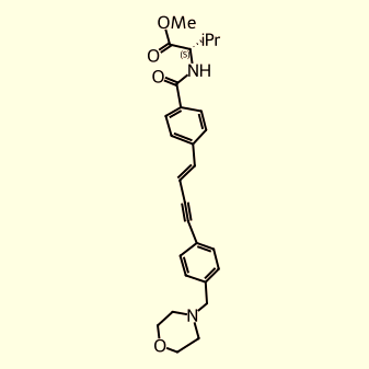 COC(=O)[C@@H](NC(=O)c1ccc(C=CC#Cc2ccc(CN3CCOCC3)cc2)cc1)C(C)C